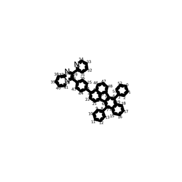 c1ccc(-c2c3c(c(-c4ccccc4)c4ccccc24)-c2ccc(-c4ccc(-c5c(-c6ccccn6)nc6ccccn56)cc4)c4cccc-3c24)cc1